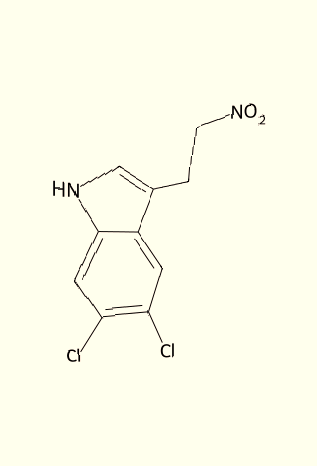 O=[N+]([O-])CCc1c[nH]c2cc(Cl)c(Cl)cc12